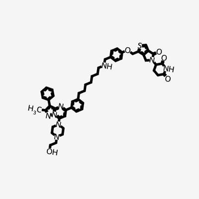 Cc1nn2c(N3CCN(CCO)CC3)cc(-c3cccc(CCCCCCCNCc4ccc(OCc5scc6c5CN(C5CCC(=O)NC5=O)C6=O)cc4)c3)nc2c1-c1ccccc1